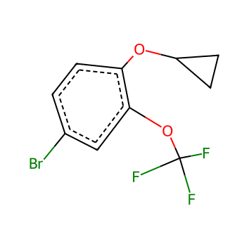 FC(F)(F)Oc1cc(Br)ccc1OC1CC1